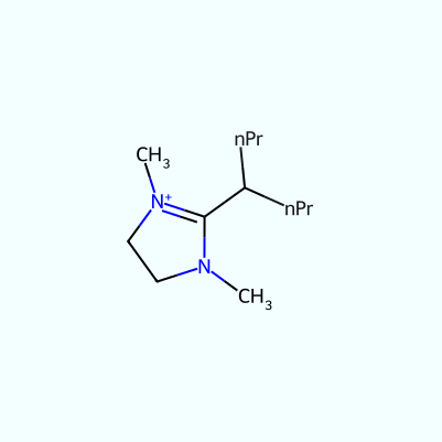 CCCC(CCC)C1=[N+](C)CCN1C